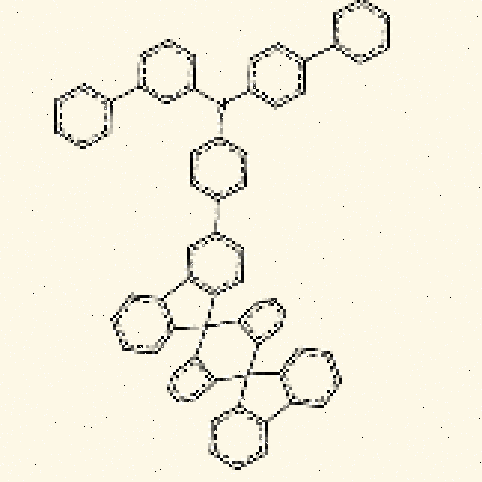 c1ccc(-c2ccc(N(c3ccc(-c4ccc5c(c4)-c4ccccc4C54c5ccccc5C5(c6ccccc6-c6ccccc65)c5ccccc54)cc3)c3cccc(-c4ccccc4)c3)cc2)cc1